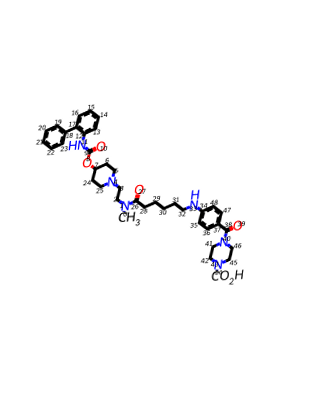 CN(CCN1CCC(OC(=O)Nc2ccccc2-c2ccccc2)CC1)C(=O)CCCCCNc1ccc(C(=O)N2CCN(C(=O)O)CC2)cc1